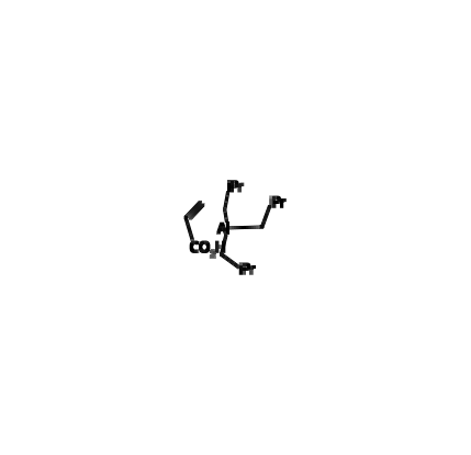 C=CC(=O)O.CC(C)[CH2][Al]([CH2]C(C)C)[CH2]C(C)C